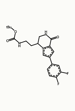 CC(C)(C)OC(=O)NCCC1CNC(=O)c2cc(-c3ccc(F)c(F)c3)cn21